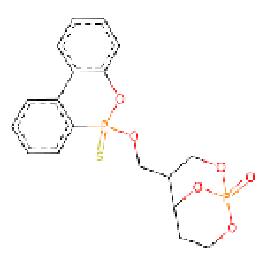 O=P12OCCC(O1)C(COP1(=S)Oc3ccccc3-c3ccccc31)CO2